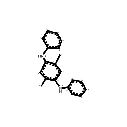 Cc1cc(Nc2ccccc2)c(C)cc1Nc1ccccc1